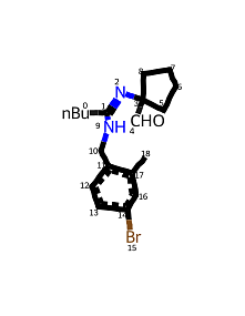 CCCC/C(=N/C1(C=O)CCCC1)NCc1ccc(Br)cc1C